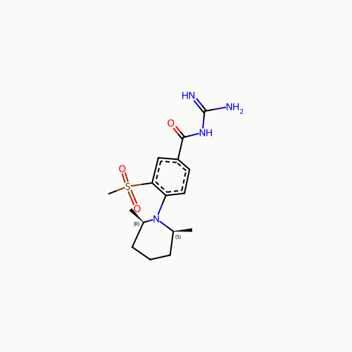 C[C@@H]1CCC[C@H](C)N1c1ccc(C(=O)NC(=N)N)cc1S(C)(=O)=O